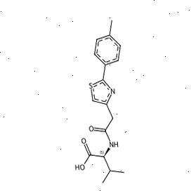 Cc1ccc(-c2nc(CC(=O)N[C@H](C(=O)O)C(C)C)cs2)cc1